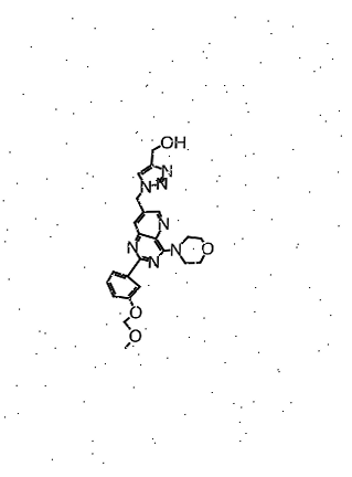 COCOc1cccc(-c2nc(N3CCOCC3)c3ncc(Cn4cc(CO)nn4)cc3n2)c1